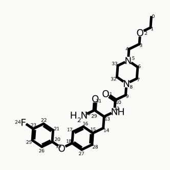 CCOCCN1CCN(CC(=O)NC(Cc2ccc(Oc3ccc(F)cc3)cc2)C(N)=O)CC1